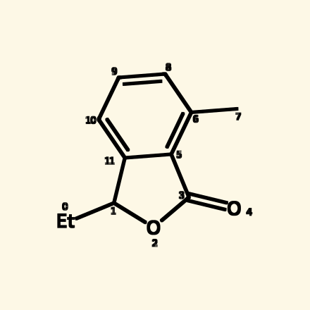 CCC1OC(=O)c2c(C)cccc21